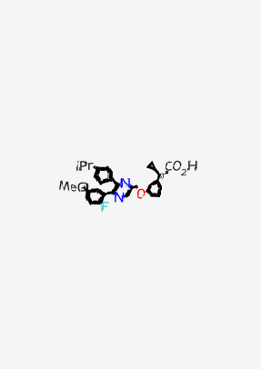 COc1ccc(F)c(-c2ncc(COc3cccc([C@@H](CC(=O)O)C4CC4)c3)nc2-c2ccc(C(C)C)cc2)c1